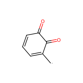 [CH2]C1=CC=CC(=O)C1=O